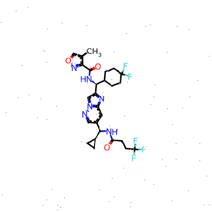 Cc1conc1C(=O)N[C@H](c1cn2ncc(C(NC(=O)CCC(F)(F)F)C3CC3)cc2n1)C1CCC(F)(F)CC1